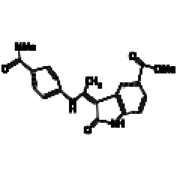 CNC(=O)c1ccc(N/C(C)=C2\C(=O)Nc3ccc(C(=O)OC)cc32)cc1